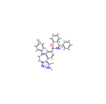 C/C(N)=C1\c2ccc(C(=O)NC(c3ccccc3)c3ccccc3)cc2N(c2ccc(Cl)cc2)CCN1N